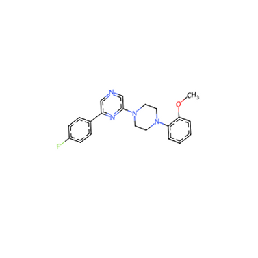 COc1ccccc1N1CCN(c2cncc(-c3ccc(F)cc3)n2)CC1